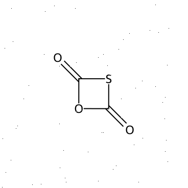 O=C1OC(=O)S1